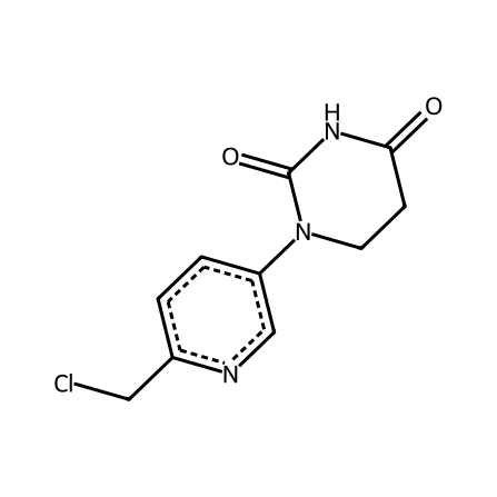 O=C1CCN(c2ccc(CCl)nc2)C(=O)N1